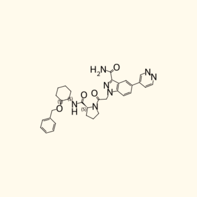 NC(=O)c1nn(CC(=O)N2CCC[C@H]2C(=O)N[C@H]2CCCC[C@@H]2OCc2ccccc2)c2ccc(-c3ccnnc3)cc12